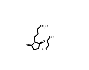 O=C(O)CCCN1C(=O)CCC1=O.OCCO